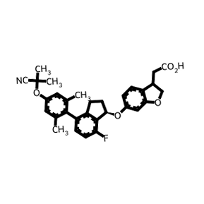 Cc1cc(OC(C)(C)C#N)cc(C)c1-c1ccc(F)c2c1CC[C@H]2Oc1ccc2c(c1)OCC2CC(=O)O